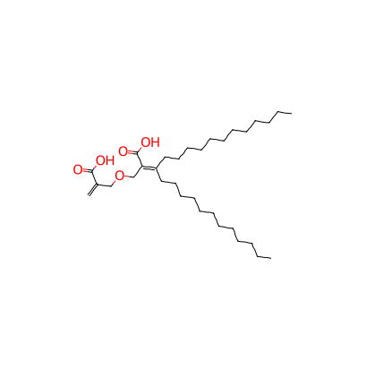 C=C(COCC(C(=O)O)=C(CCCCCCCCCCCC)CCCCCCCCCCCC)C(=O)O